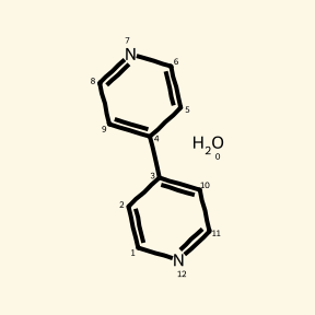 O.c1cc(-c2ccncc2)ccn1